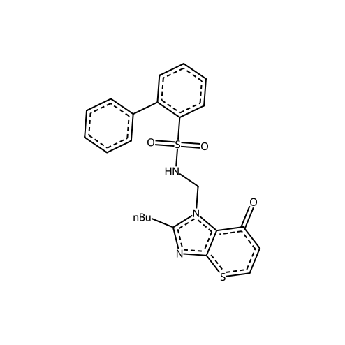 CCCCc1nc2sccc(=O)c2n1CNS(=O)(=O)c1ccccc1-c1ccccc1